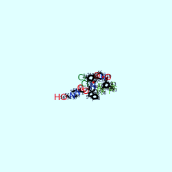 O=C(CO[C@H]1Cc2ccccc2C12CCN(CC[C@]1(c3ccc(Cl)c(Cl)c3)CN(C(=O)c3cc(C(F)(F)F)cc(C(F)(F)F)c3)CCO1)CC2)N1CCN(CCO)CC1